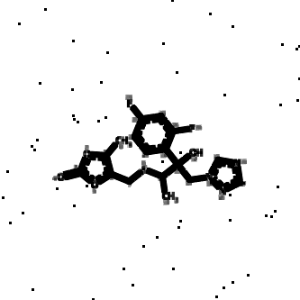 Cc1oc(=O)oc1CSC(C)C(O)(Cn1cncn1)c1ccc(F)cc1F